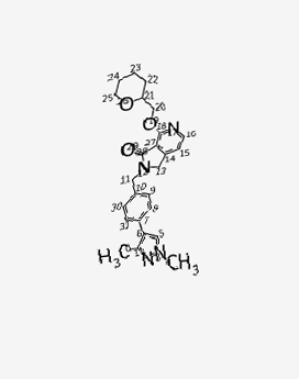 Cc1nn(C)cc1-c1ccc(CN2Cc3ccnc(OCC4CCCCO4)c3C2=O)cc1